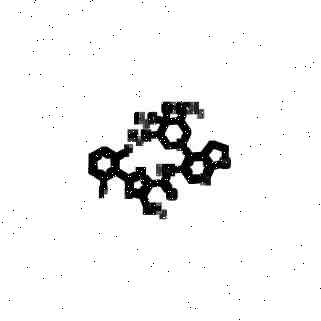 CC1CN(c2c(NC(=O)c3nc(-c4c(F)cccc4F)sc3N)cnc3c2CCO3)CC(N)C1(C)O